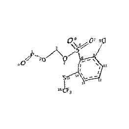 O=POCOS(=O)(=O)c1c(Cl)cccc1SC(F)(F)F